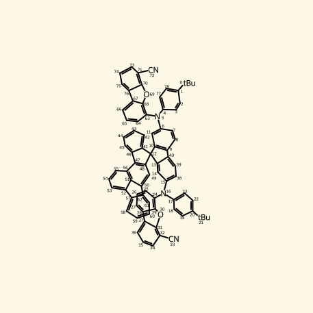 CC(C)(C)c1ccc(N(c2ccc3c(c2)C2(c4cc(N(c5ccc(C(C)(C)C)cc5)c5cccc6c5oc5c(C#N)cccc56)ccc4-3)c3ccccc3-c3c2cc2c4c(cccc34)-c3ccccc3-2)c2cccc3c2oc2c(C#N)cccc23)cc1